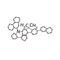 CC1(C)c2cc(-c3ccc4ccccc4c3)ccc2-c2ccc(N(c3ccccc3-c3ccccc3)c3cc4ccccc4c4ccccc34)cc21